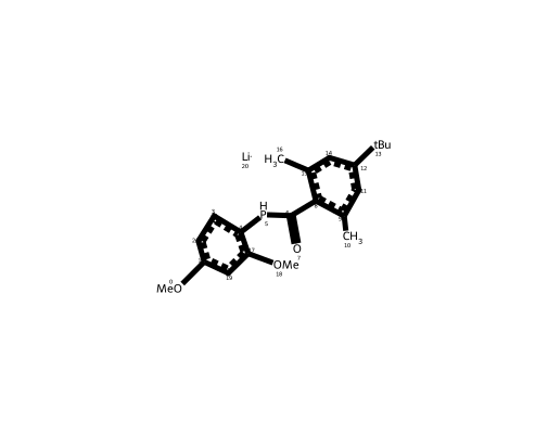 COc1ccc(PC(=O)c2c(C)cc(C(C)(C)C)cc2C)c(OC)c1.[Li]